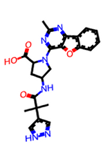 Cc1nc(N2CC(NC(=O)C(C)(C)c3cn[nH]c3)CC2C(=O)O)c2oc3ccccc3c2n1